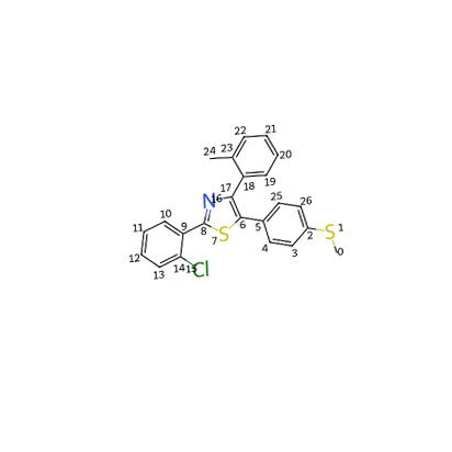 CSc1ccc(-c2sc(-c3ccccc3Cl)nc2-c2ccccc2C)cc1